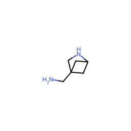 NCC12CNC(C1)C2